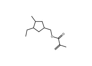 C=C(C)C(=O)OCC1CC(C)C(CC)C1